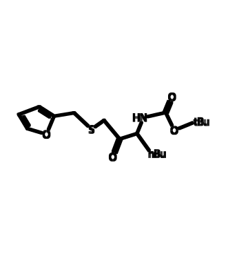 CCCCC(NC(=O)OC(C)(C)C)C(=O)CSCc1ccco1